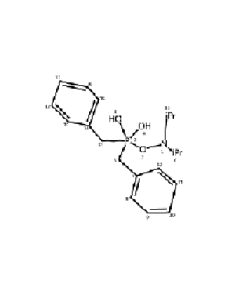 CC(C)N(OP(O)(O)(Cc1ccccc1)Cc1ccccc1)C(C)C